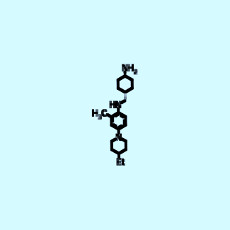 CCC1CCN(c2ccc(NC[C@H]3CC[C@H](N)CC3)c(C)c2)CC1